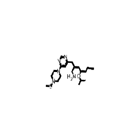 C=C/C=C(\C=C(/CN)Cc1cc(N2CCN(SC)CC2)ncn1)OC(C)C